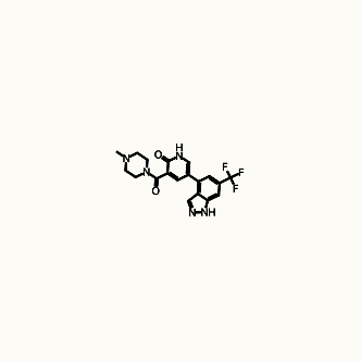 CN1CCN(C(=O)c2cc(-c3cc(C(F)(F)F)cc4[nH]ncc34)c[nH]c2=O)CC1